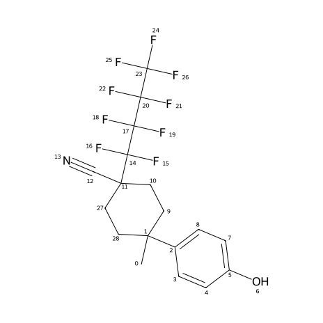 CC1(c2ccc(O)cc2)CCC(C#N)(C(F)(F)C(F)(F)C(F)(F)C(F)(F)F)CC1